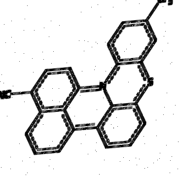 N#Cc1ccc2c3c1cccc3c1cccc3sc4cc(C(F)(F)F)ccc4n2-c31